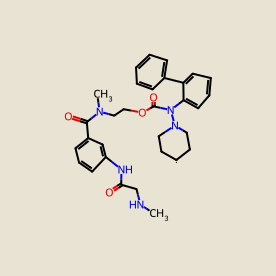 CNCC(=O)Nc1cccc(C(=O)N(C)CCOC(=O)N(c2ccccc2-c2ccccc2)N2CC[CH]CC2)c1